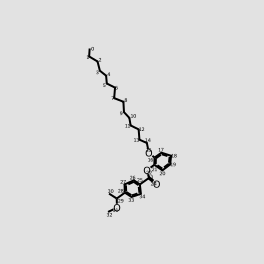 CCCCCCCCCCCCCCCOc1ccccc1OC(=O)c1ccc(C(C)OC)cc1